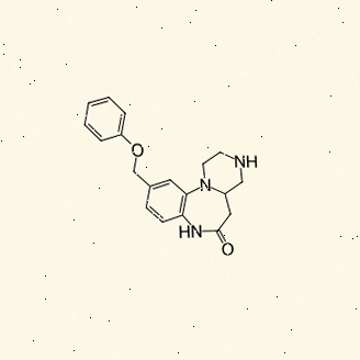 O=C1CC2CNCCN2c2cc(COc3ccccc3)ccc2N1